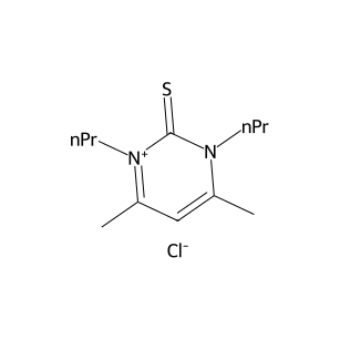 CCCn1c(C)cc(C)[n+](CCC)c1=S.[Cl-]